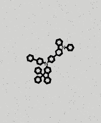 C1=CC(c2ccc(N(c3ccc(-c4ccccc4)cc3)c3ccc4c(c3)C(c3ccccc3)(c3ccccc3)c3ccccc3-4)cc2)Cc2c1n(-c1ccccc1)c1ccccc21